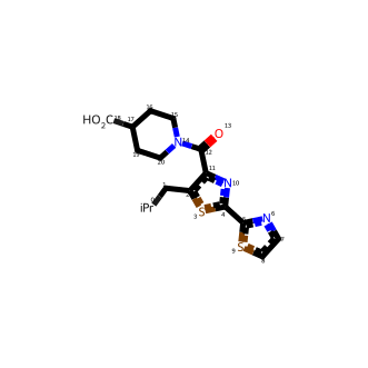 CC(C)Cc1sc(-c2nccs2)nc1C(=O)N1CCC(C(=O)O)CC1